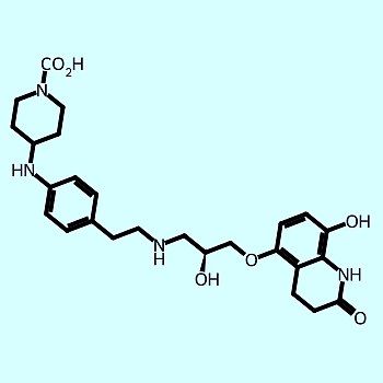 O=C1CCc2c(OC[C@@H](O)CNCCc3ccc(NC4CCN(C(=O)O)CC4)cc3)ccc(O)c2N1